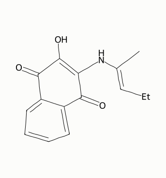 CCC=C(C)NC1=C(O)C(=O)c2ccccc2C1=O